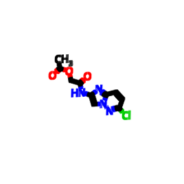 CC(=O)OCC(=O)Nc1cn2nc(Cl)ccc2n1